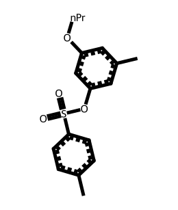 CCCOc1cc(C)cc(OS(=O)(=O)c2ccc(C)cc2)c1